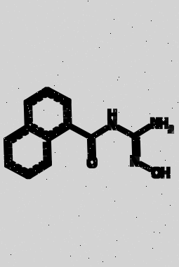 NC(=NO)NC(=O)c1cccc2ccccc12